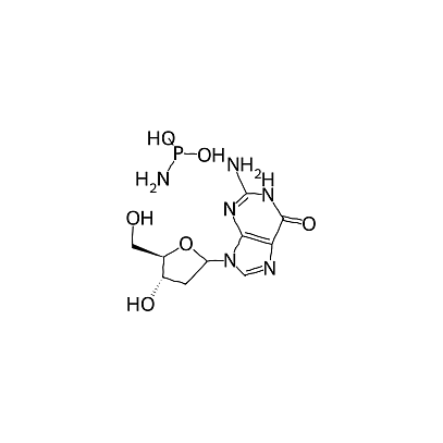 NP(O)O.Nc1nc2c(ncn2C2C[C@H](O)[C@@H](CO)O2)c(=O)[nH]1